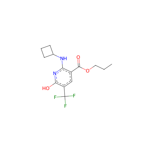 CCCOC(=O)c1cc(C(F)(F)F)c(O)nc1NC1CCC1